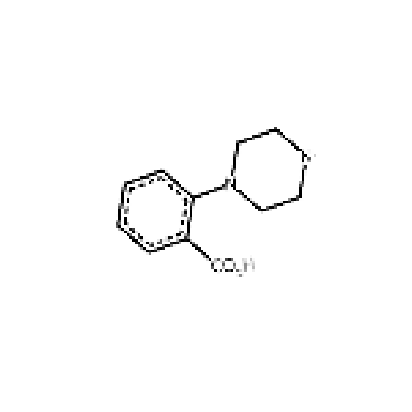 O=C(O)c1ccccc1N1CC[N]CC1